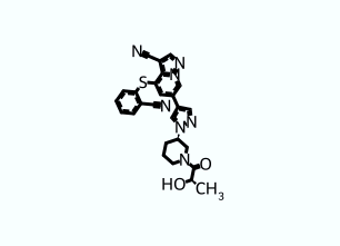 C[C@@H](O)C(=O)N1CCC[C@H](n2cc(-c3cc(Sc4ccccc4C#N)c4c(C#N)cnn4c3)cn2)C1